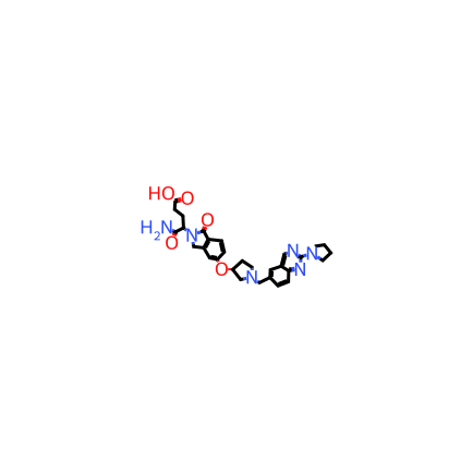 NC(=O)C(CCC(=O)O)N1Cc2cc(O[C@H]3CCN(Cc4ccc5nc(N6CCCC6)ncc5c4)C3)ccc2C1=O